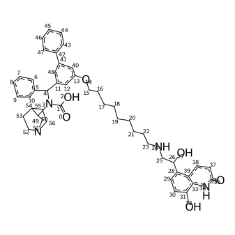 O=C(O)N(C(c1ccccc1)c1cc(OCCCCCCCCCNCC(O)c2ccc(O)c3[nH]c(=O)ccc23)cc(-c2ccccc2)c1)C1CN2CCC1CC2